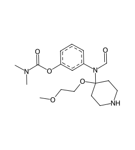 COCCOC1(N(C=O)c2cccc(OC(=O)N(C)C)c2)CCNCC1